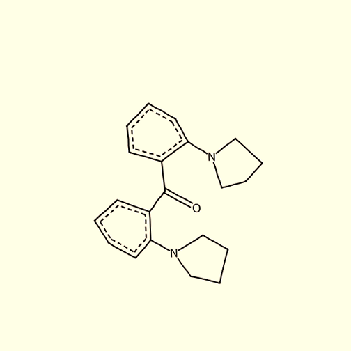 O=C(c1ccccc1N1CCCC1)c1ccccc1N1CCCC1